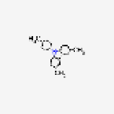 Cc1ccc(-n2c3ccc(C)cc3c3cc(C)ccc32)cc1